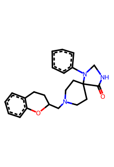 O=C1NCN(c2ccccc2)C12CCN(CC1CCc3ccccc3O1)CC2